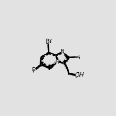 OCc1c(I)nc2c(Br)cc(F)cn12